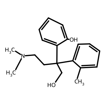 Cc1ccccc1C(CO)(CCN(C)C)c1ccccc1O